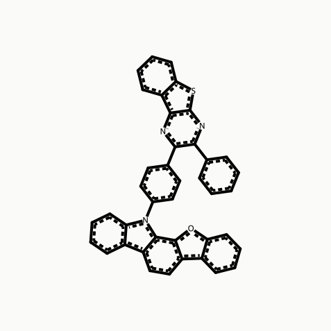 c1ccc(-c2nc3sc4ccccc4c3nc2-c2ccc(-n3c4ccccc4c4ccc5c6ccccc6oc5c43)cc2)cc1